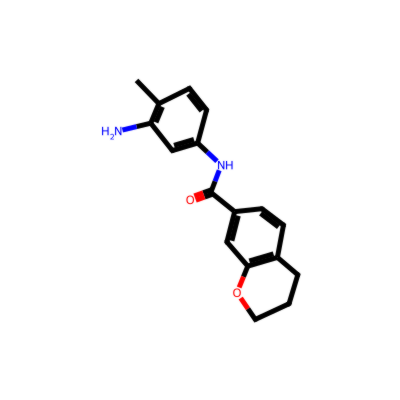 Cc1ccc(NC(=O)c2ccc3c(c2)OCCC3)cc1N